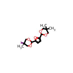 CC1(C)COC(c2ccc(C3OCC(C)(I)CO3)o2)OC1